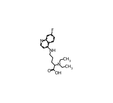 CCN(CC)C(CCCNc1ccnc2cc(F)ccc12)C(=O)O